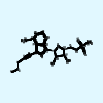 COCC#Cc1nn([C@@H]2O[C@H](COS(N)(=O)=O)[C@@H](O)[C@H]2O)c2ncnc(N)c12